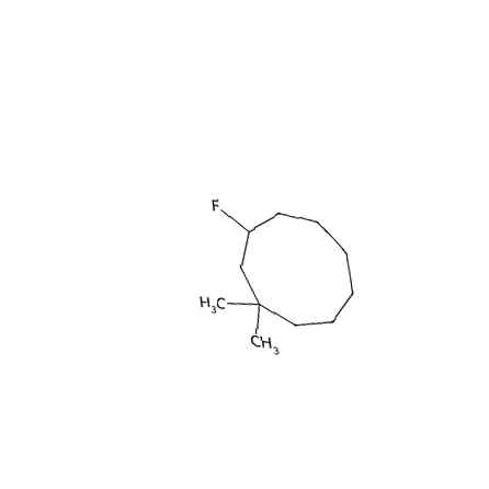 CC1(C)CCCCCCC(F)C1